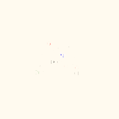 COC(=O)Cc1ccc(C(=O)c2ccc(Br)cc2)n1C